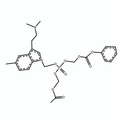 CC(=O)OCOP(=O)(OCOC(=O)Oc1ccccc1)OCn1cc(CCN(C)C)c2cc(C)ccc21